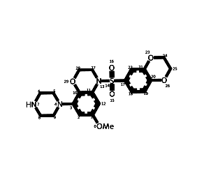 COc1cc(N2CCNCC2)c2c(c1)N(S(=O)(=O)c1ccc3c(c1)OCCO3)CCO2